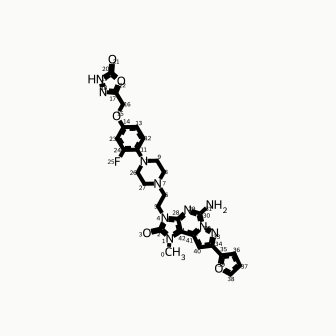 Cn1c(=O)n(CCN2CCN(c3ccc(OCc4n[nH]c(=O)o4)cc3F)CC2)c2nc(N)n3nc(-c4ccco4)cc3c21